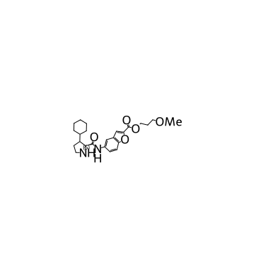 COCCCOC(=O)c1cc2cc(NC(=O)[C@H]3NCCC3C3CCCCC3)ccc2o1